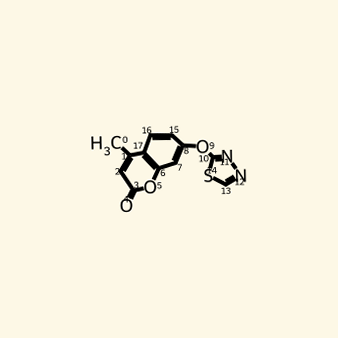 Cc1cc(=O)oc2cc(Oc3nncs3)ccc12